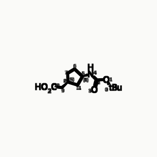 CC(C)(C)OC(=O)N[C@@H]1CC[C@H](CC(=O)O)C1